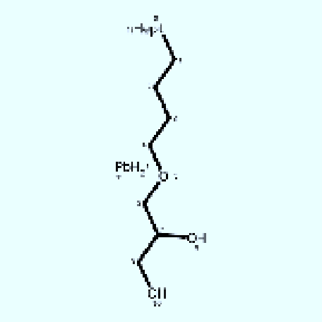 CCCCCCCCCCCOCC(O)CO.[PbH2]